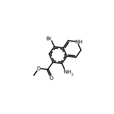 COC(=O)c1cc(Br)c2c(c1N)=CCNC=2